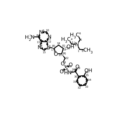 CCN(CC)CC.Nc1ncnc2c1ncn2[C@H]1C[C@H](O)[C@@H](COS(=O)(=O)NC(=O)c2ccccc2O)O1